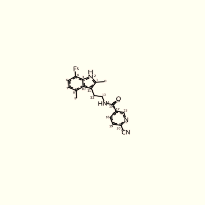 Cc1[nH]c2c(F)ccc(C)c2c1CCNC(=O)c1ccc(C#N)nc1